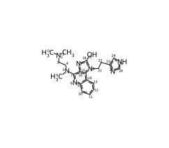 CN(C)CCN(C)c1nc2ccccc2c2c1nc(O)n2CCc1c[nH]cn1